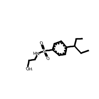 CCC(CC)c1ccc(S(=O)(=O)NCCO)cc1